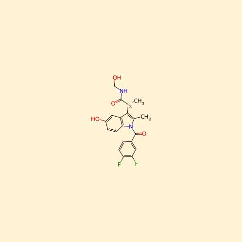 Cc1c([C@@H](C)C(=O)NCO)c2cc(O)ccc2n1C(=O)c1ccc(F)c(F)c1